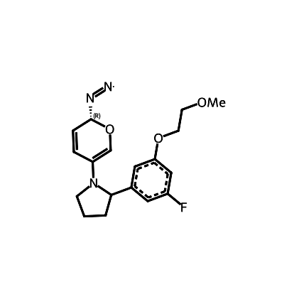 COCCOc1cc(F)cc(C2CCCN2C2=CO[C@@H](N=[N])C=C2)c1